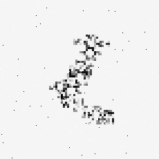 C=C(C)[C@@H]1CC[C@]2(C(=O)NCCCN3CCS(O)(O)CC3)CC[C@]3(C)[C@H](CC[C@@H]4[C@@]5(C)CC=C(c6ccc(C(=O)O)c(C(=O)O)c6)C(C)(C)[C@@H]5CC[C@]43C)[C@@H]12